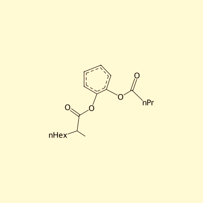 CCCCCCC(C)C(=O)Oc1ccccc1OC(=O)CCC